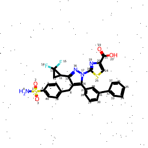 NS(=O)(=O)c1ccc(Cc2c(C3CC3(F)F)nn(-c3nc(C(=O)O)cs3)c2-c2cccc(-c3ccccc3)c2)cc1